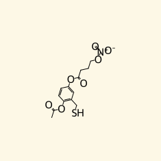 CC(=O)Oc1ccc(OC(=O)CCCO[N+](=O)[O-])cc1CS